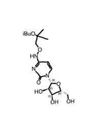 CC(C)COC(C)(C)CONc1ccn([C@@H]2O[C@H](CO)[C@@H](O)[C@H]2O)c(=O)n1